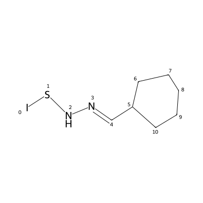 ISN/N=C/C1CCCCC1